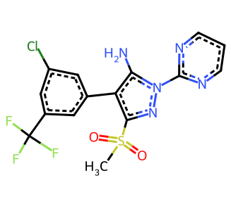 CS(=O)(=O)c1nn(-c2ncccn2)c(N)c1-c1cc(Cl)cc(C(F)(F)F)c1